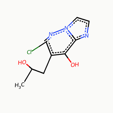 CC(O)Cc1c(Cl)nn2ccnc2c1O